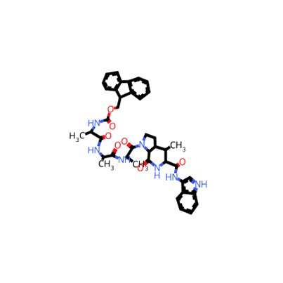 CC(NC(=O)OCC1c2ccccc2-c2ccccc21)C(=O)NC(C)C(=O)NC(C)C(=O)N1CCC2C(C)C(C(=O)Nc3c[nH]c4ccccc34)NC(=O)C21